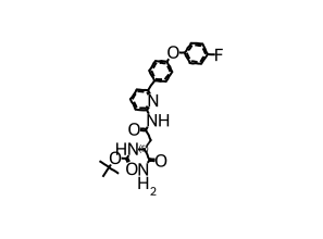 CC(C)(C)OC(=O)N[C@@H](CC(=O)Nc1cccc(-c2ccc(Oc3ccc(F)cc3)cc2)n1)C(N)=O